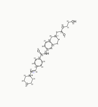 O=C(CN1CCc2cc(NC(=O)c3ccc(/C=N/N4CCOCC4)cc3)ccc2C1)OCCO